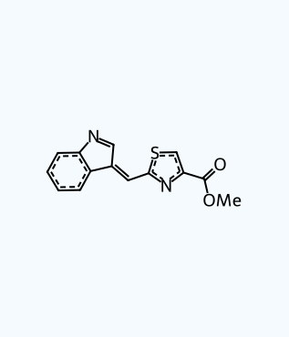 COC(=O)c1csc(/C=C2\C=Nc3ccccc32)n1